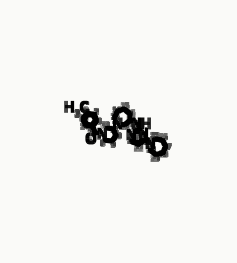 Cc1ccc(C(=O)N2CCCC(N3CCCCC(Nc4nccc(N5CCCCCC5)n4)C3)C2)cc1